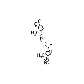 Cc1cc(C(=O)NCC2CCN(CCc3ccc4c(c3C)COC4=O)C2)ncc1-n1cnnn1